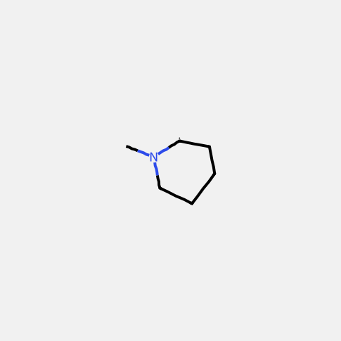 CN1[CH]CCCC1